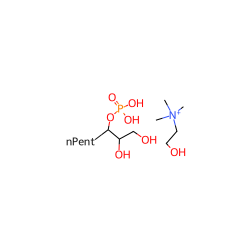 CCCCCC(OP(=O)(O)O)C(O)CO.C[N+](C)(C)CCO